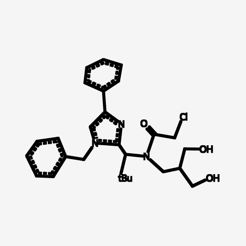 CC(C)(C)C(c1nc(-c2ccccc2)cn1Cc1ccccc1)N(CC(CO)CO)C(=O)CCl